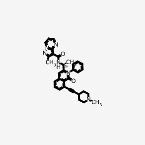 Cc1nn2cccnc2c1C(=O)N[C@@H](C)c1cc2cccc(C#CC3CCN(C)CC3)c2c(=O)n1-c1ccccc1